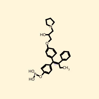 CC/C(=C(/c1ccc(OCC(O)CN2CCCC2)cc1)c1ccc(OP(O)O)cc1)c1ccccc1